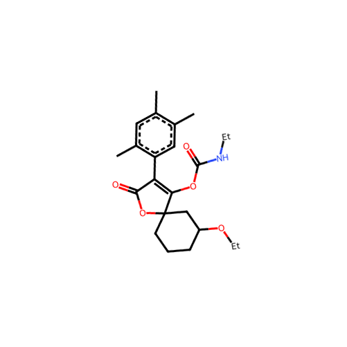 CCNC(=O)OC1=C(c2cc(C)c(C)cc2C)C(=O)OC12CCCC(OCC)C2